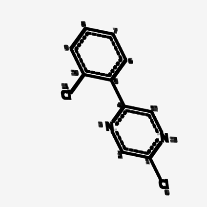 Clc1[c]nc(-c2ccccc2Cl)cn1